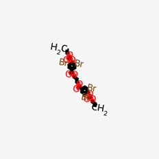 C=CCOC(=O)Oc1c(Br)cc(C(=O)OCCCOC(=O)c2cc(Br)c(OC(=O)OCC=C)c(Br)c2)cc1Br